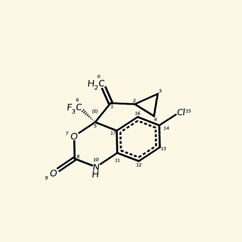 C=C(C1CC1)[C@]1(C(F)(F)F)OC(=O)Nc2ccc(Cl)cc21